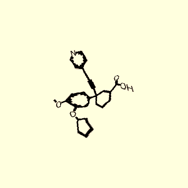 COc1ccc(C2(C#Cc3ccncc3)CCCC(C(=O)O)C2)cc1OC1CCCC1